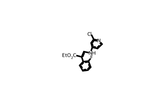 CCOC(=O)C(=CNc1ccnc(Cl)c1)c1ccccc1F